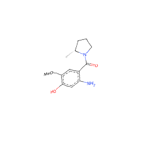 COc1cc(C(=O)N2CCC[C@H]2C)c(N)cc1O